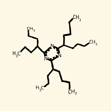 CCCCC(CCC)c1nc(C(CCC)CCC)nc(C(CCCC)CCCC)n1